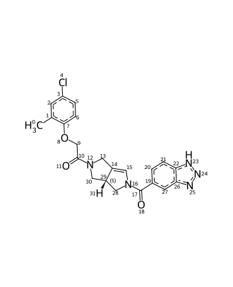 Cc1cc(Cl)ccc1OCC(=O)N1CC2=CN(C(=O)c3ccc4[nH]nnc4c3)C[C@@H]2C1